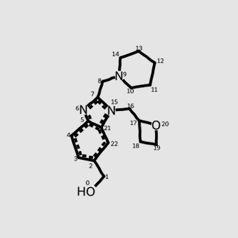 OCc1ccc2nc(CN3CCCCC3)n(CC3CCO3)c2c1